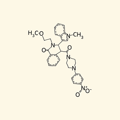 COCCN1C(=O)c2ccccc2C(C(=O)N2CCN(c3ccc([N+](=O)[O-])cc3)CC2)C1c1cn(C)c2ccccc12